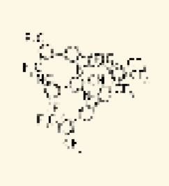 N#Cc1cc(-c2cc(-n3c4cc(-c5cc(C(F)(F)F)cc(C(F)(F)F)c5)ccc4c4ccc(-c5cc(C(F)(F)F)cc(C(F)(F)F)c5)cc43)c(C#N)c(-n3c4cc(-c5cc(C(F)(F)F)cc(C(F)(F)F)c5)ccc4c4ccc(-c5cc(C(F)(F)F)cc(C(F)(F)F)c5)cc43)c2)cc(C(F)(F)F)c1